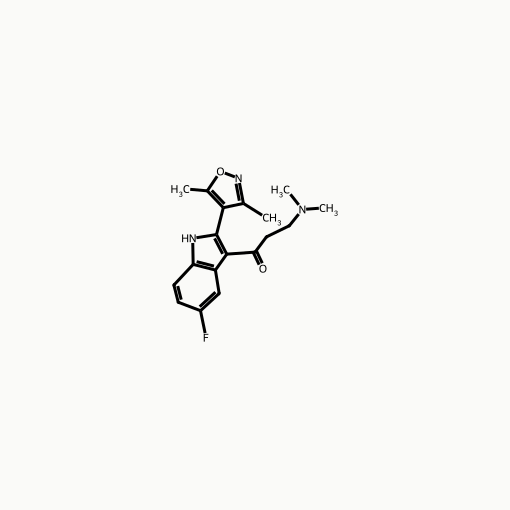 Cc1noc(C)c1-c1[nH]c2ccc(F)cc2c1C(=O)CCN(C)C